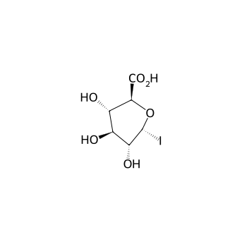 O=C(O)[C@H]1O[C@H](I)[C@H](O)[C@@H](O)[C@@H]1O